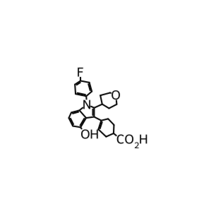 O=C(O)C1CC=C(c2c(C3CCOCC3)n(-c3ccc(F)cc3)c3cccc(O)c23)CC1